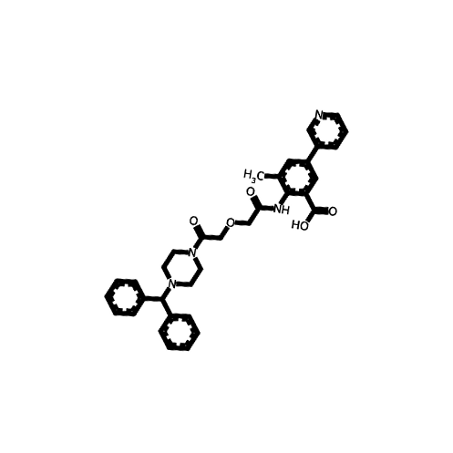 Cc1cc(-c2cccnc2)cc(C(=O)O)c1NC(=O)COCC(=O)N1CCN(C(c2ccccc2)c2ccccc2)CC1